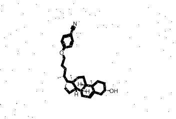 C[C@H](CCCOc1ccc(C#N)cc1)[C@H]1CC[C@H]2[C@@H]3CC=C4C[C@@H](O)CC[C@]4(C)[C@H]3CC[C@]12C